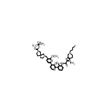 COc1nc(-c2ccnc(-c3cccc(NC(=O)c4nc5c(n4C)CCN(CCCF)C5)c3Cl)c2Cl)ccc1CN1CC[C@]2(CCN(C(=O)OC(C)(C)C)C2)C1